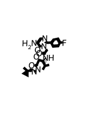 CC(C)[C@H](NC(=O)Cn1c(-c2ccc(F)cc2)ncc(N)c1=O)C(=O)c1nnc(C2(C)CC2)o1